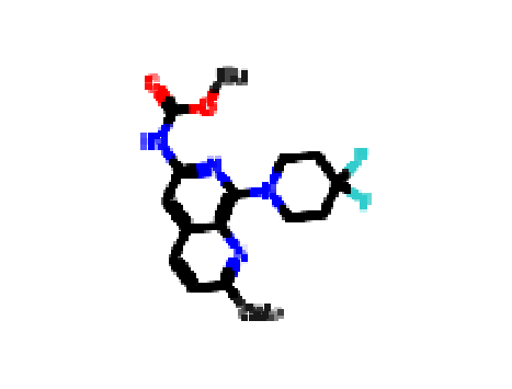 COc1ccc2cc(NC(=O)OC(C)(C)C)nc(N3CCC(F)(F)CC3)c2n1